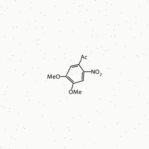 COc1cc(C(C)=O)c([N+](=O)[O-])cc1OC